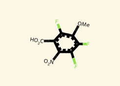 COc1c(F)c(F)c([N+](=O)[O-])c(C(=O)O)c1F